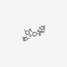 Cc1ccc(Oc2ccc(S(=O)(=O)Nc3ncns3)cc2C#N)c(-c2c(C)cnn2C)c1